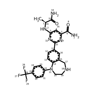 C[C@H](Nc1cc(C(N)=O)nc(-c2ccc3c(c2)CNCCN3c2ccc(C(F)(F)F)cc2)n1)C(N)=O